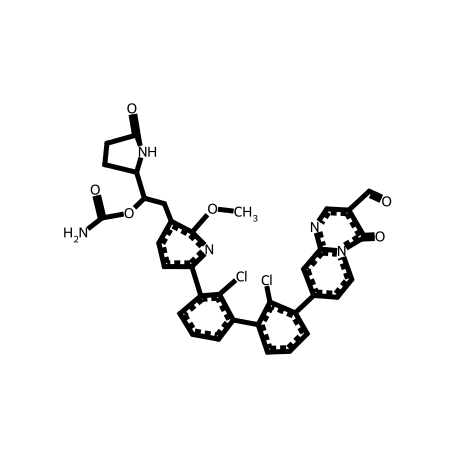 COc1nc(-c2cccc(-c3cccc(-c4ccn5c(=O)c(C=O)cnc5c4)c3Cl)c2Cl)ccc1CC(OC(N)=O)C1CCC(=O)N1